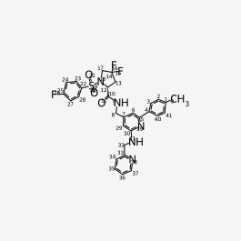 Cc1ccc(-c2cc(CNC(=O)[C@@H]3CC(F)(F)CN3S(=O)(=O)c3ccc(F)cc3)cc(NCc3ccccn3)n2)cc1